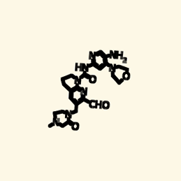 CN1CCN(Cc2cc3c(nc2C=O)N(C(=O)Nc2cc(N4CCOCC4)c(N)cn2)CCC3)C(=O)C1